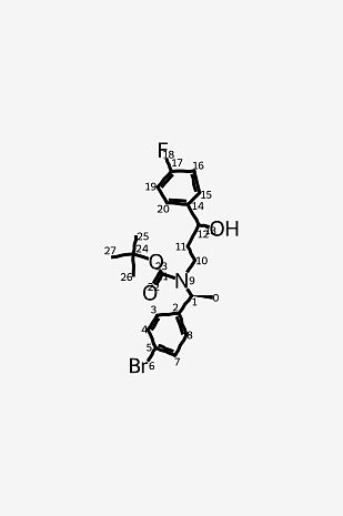 C[C@@H](c1ccc(Br)cc1)N(CCC(O)c1ccc(F)cc1)C(=O)OC(C)(C)C